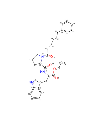 CCOC(=O)C(CC1CNc2ccccc21)NC(=O)C1CCCN1C(=O)CCCCCc1ccccc1